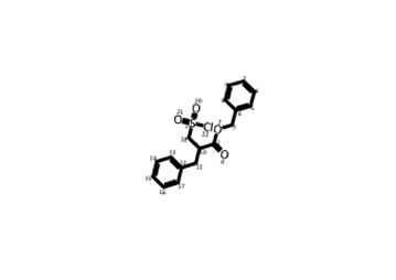 O=C(OCc1ccccc1)C(Cc1ccccc1)CS(=O)(=O)Cl